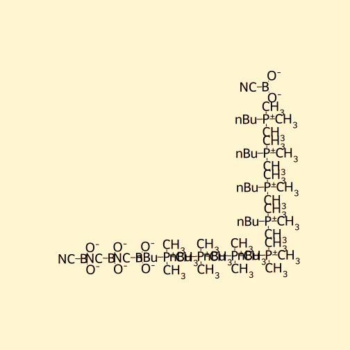 CCCC[P+](C)(C)C.CCCC[P+](C)(C)C.CCCC[P+](C)(C)C.CCCC[P+](C)(C)C.CCCC[P+](C)(C)C.CCCC[P+](C)(C)C.CCCC[P+](C)(C)C.CCCC[P+](C)(C)C.N#CB([O-])[O-].N#CB([O-])[O-].N#CB([O-])[O-].N#CB([O-])[O-]